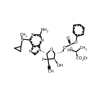 C#C[C@@]1(F)[C@H](O)[C@@H](CO[P@](=O)(N[C@@H](C)C(=O)OCC)Oc2ccccc2)O[C@H]1n1cnc2c(N(C)C3CC3)nc(N)nc21